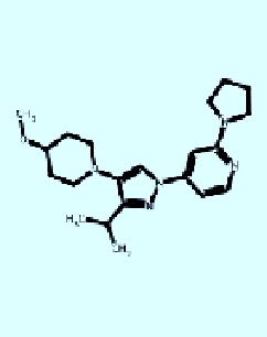 COC1CCN(c2cn(-c3ccnc(N4CCCC4)c3)nc2C(C)C)CC1